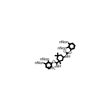 CCCCCCCCCc1cccc(OC(=O)NC2CC(C)(C)CC(C)(C(NC=O)Oc3cccc(CCCCCCCCC)c3CCCCCCCCC)C2)c1CCCCCCCCC